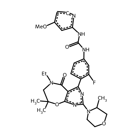 CCN1CC(C)(C)Oc2nc(N3CCOCC3C)nc(-c3ccc(NC(=O)Nc4cc(OC)ccn4)cc3F)c2C1=O